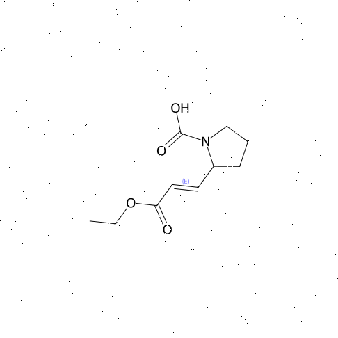 CCOC(=O)/C=C/C1CCCN1C(=O)O